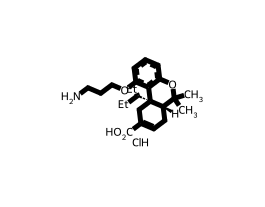 CCC(CC)[C@@]12CC(C(=O)O)=CC[C@H]1C(C)(C)Oc1cccc(OCCCN)c12.Cl